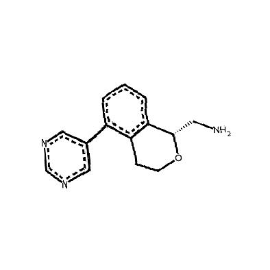 NC[C@@H]1OCCc2c(-c3cncnc3)cccc21